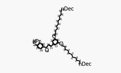 CCCCCCCCCCCCCCCCCCCCOc1cc(C=CC(=O)c2ccc(SCCC)cc2)cc(OCCCCCCCCCCCCCCCCCCCC)c1